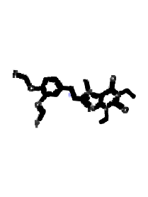 CCn1c(=O)c2c(nc(/C=C/c3ccc(OCF)c(OCF)c3)n2C)n(CC)c1=O